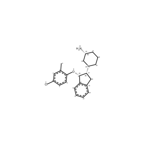 Cc1cc(Cl)ccc1O[C@H]1c2ccccc2C[C@H]1N1CCC[C@@H](N)C1